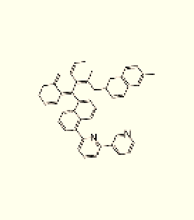 C=C1CCC=C/C1=C(C(/C=C\C)=C(/C)CC1C=Cc2cc(C)ccc2C1)\c1cccc2c(-c3cccc(-c4cccnc4)n3)cccc12